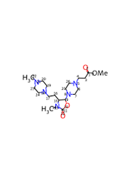 COC(=O)CCN1CCN(C2OC(=O)N(C)C2CCN2CCN(C)CC2)CC1